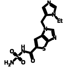 CCn1cncc1Cn1cnc2sc(C(=O)NS(N)(=O)=O)cc21